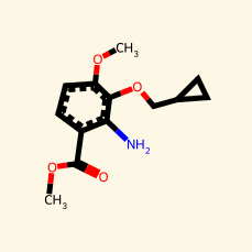 COC(=O)c1ccc(OC)c(OCC2CC2)c1N